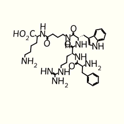 N=C(N)NCCC[C@H](NC(=O)[C@@H](N)Cc1ccccc1)C(=O)N[C@@H](Cc1c[nH]c2ccccc12)C(=O)NCCCC(=O)N[C@@H](CCCCN)C(=O)O